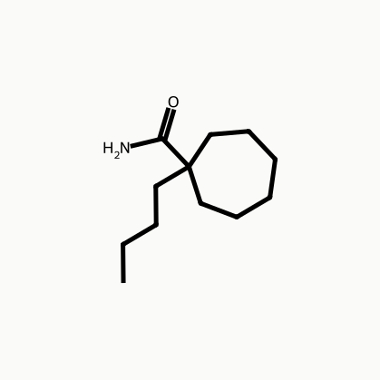 CCCCC1(C(N)=O)CCCCCC1